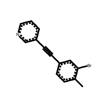 Cc1ccc(C#Cc2cccnc2)cc1Br